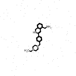 CCN1CCN(Cc2ccc(C3=Cc4c(CN)cccc4CN3)cc2)CC1